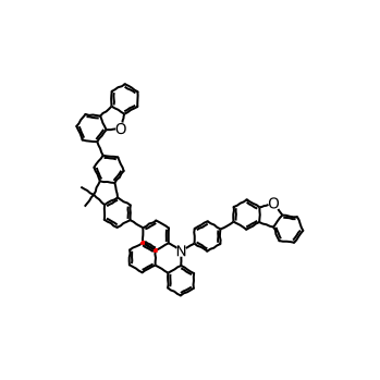 CC1(C)c2ccc(-c3ccc(N(c4ccc(-c5ccc6oc7ccccc7c6c5)cc4)c4ccccc4-c4ccccc4)cc3)cc2-c2ccc(-c3cccc4c3oc3ccccc34)cc21